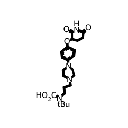 CC(C)(C)N(CCCN1CCN(c2ccc(OC3CCC(=O)NC3=O)cc2)CC1)C(=O)O